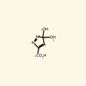 O=C(O)C1=CC(O)(O)N=N1